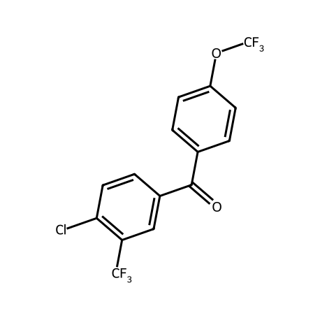 O=C(c1ccc(OC(F)(F)F)cc1)c1ccc(Cl)c(C(F)(F)F)c1